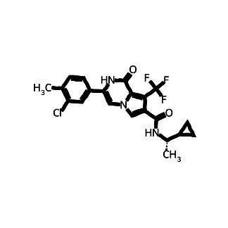 Cc1ccc(-c2cn3cc(C(=O)N[C@@H](C)C4CC4)c(C(F)(F)F)c3c(=O)[nH]2)cc1Cl